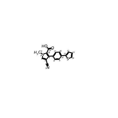 Cn1cc(C#N)c(-c2ccc(-c3cccs3)cc2)c1C(=O)O